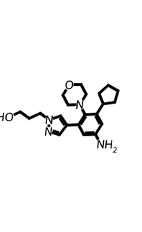 Nc1cc(-c2cnn(CCCO)c2)c(N2CCOCC2)c(C2CCCC2)c1